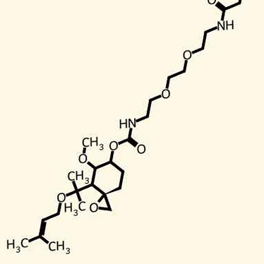 COC1C(OC(=O)NCCOCCOCCNC(=O)CN)CC[C@]2(CO2)C1C(C)(C)OCC=C(C)C